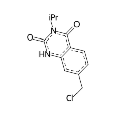 CC(C)n1c(=O)[nH]c2cc(CCl)ccc2c1=O